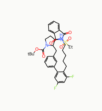 CCS(=O)(=O)NC1CCN(C(=O)OC(C)(C)C)C1Cc1cccc(-c2cc(F)cc(F)c2CCCCCN2C(=O)c3ccccc3C2=O)c1